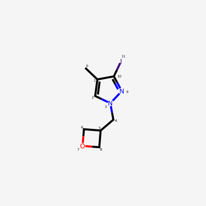 Cc1cn(CC2COC2)nc1I